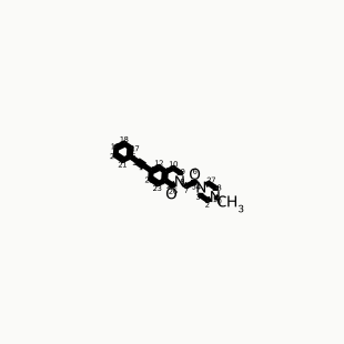 CN1CCN(C(=O)CN2CCc3cc(C#Cc4ccccc4)ccc3C2=O)CC1